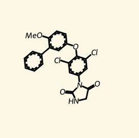 COc1ccc(Oc2c(Cl)cc(N3C(=O)CNC3=O)cc2Cl)cc1-c1ccccc1